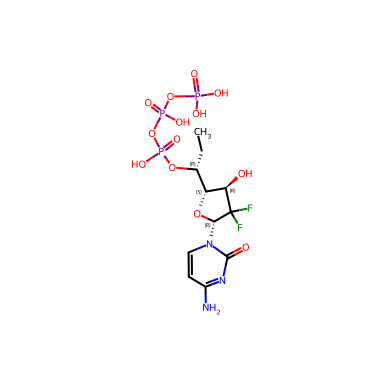 CC[C@@H](OP(=O)(O)OP(=O)(O)OP(=O)(O)O)[C@H]1O[C@@H](n2ccc(N)nc2=O)C(F)(F)[C@@H]1O